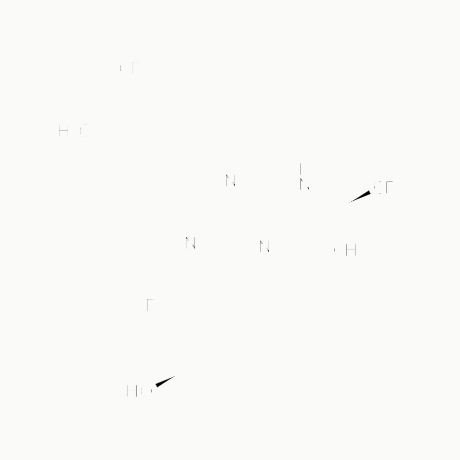 C[C@@H](CCc1nc(N[C@H](C)C(F)(F)F)nc(C2=C(F)[C@H](O)CCC2)n1)C(F)(F)F